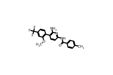 COc1cc(C(F)(F)F)ccc1-c1ccc(NC(=O)c2ccc(C)cc2)nc1N